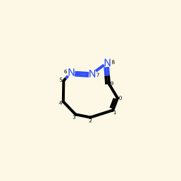 C1=C\CCCC/N=N/N=C/1